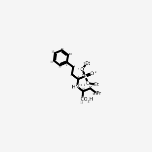 CCOP(=O)(OCC)C(CCc1ccccc1)NC(CC(C)C)C(=O)O